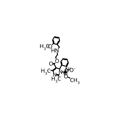 CCOC(=O)N1C(C)=NC(C)=C(C(=O)OCCNCc2ccccc2OC)C1c1ccccc1[N+](=O)[O-]